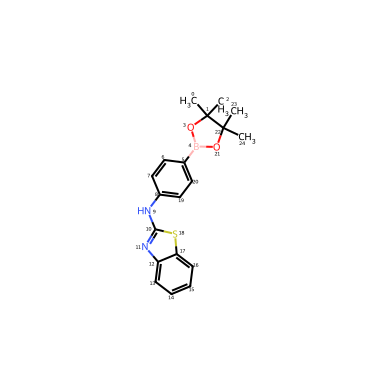 CC1(C)OB(c2ccc(Nc3nc4ccccc4s3)cc2)OC1(C)C